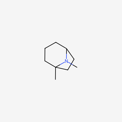 CN1C2CCCC1(C)CC2